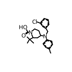 Cc1ccc(N(Cc2cccc(Cl)c2)C2CCN(C(=O)O)C(C(C)(C)C)C2)cc1